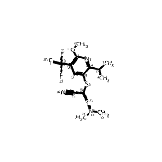 COc1nc(C(C)C)c(SC(=C=[N+](C)C)C#N)cc1C(F)(F)F